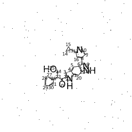 O=C(c1cc2cc3c(-c4ccnc(C5CC5)c4)n[nH]c3cc2[nH]1)[C@H](CO)c1ccccc1